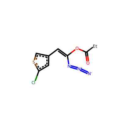 CCC(=O)O/C(=C/c1csc(Cl)c1)N=[N+]=[N-]